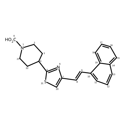 O=C(O)N1CCC(c2nc(/C=C/c3cccc4ccccc34)cs2)CC1